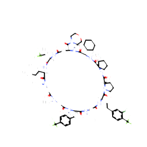 CC[C@H](C)[C@@H]1NC(=O)[C@H](CC(F)(F)F)N(C)C(=O)C[C@@H](C(=O)N2CCOCC2)N(C)C(=O)[C@H](C2CCCCC2)N(C)C(=O)C2(CCCC2)NC(=O)[C@@H]2CCCN2C(=O)[C@H](CCc2ccc(C(F)(F)F)c(Cl)c2)NC(=O)CN(C)C(=O)[C@H](Cc2ccc(C(F)(F)F)cc2)N(C)C(=O)CN(C)C(=O)CN(C)C1=O